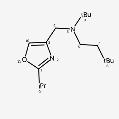 CC(C)c1nc(CN(CCC(C)(C)C)C(C)(C)C)co1